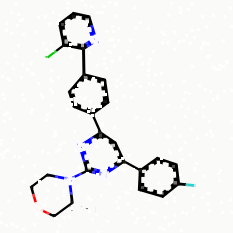 C[C@@H]1COCCN1c1nc(-c2ccc(F)cc2)cc(-c2ccc(-c3ncccc3Cl)cc2)n1